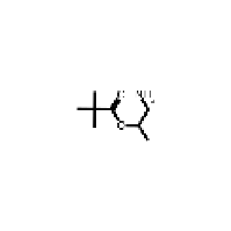 CC(CN)OC(=O)C(C)(C)I